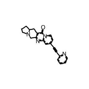 O=c1c2c(nc3cc(C#Cc4ccccn4)ccn13)CN1CCCC1C2